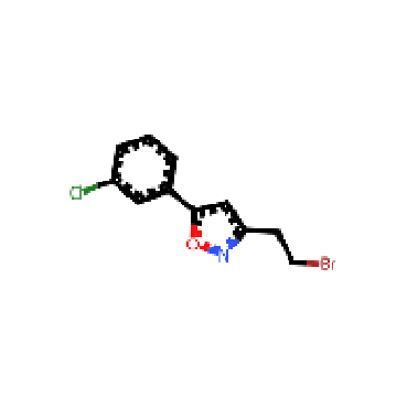 Clc1cccc(-c2cc(CCBr)no2)c1